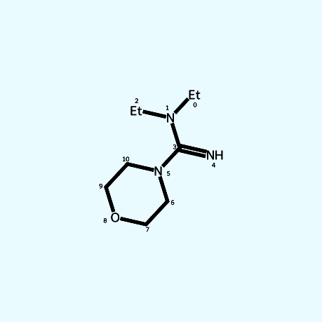 CCN(CC)C(=N)N1CCOCC1